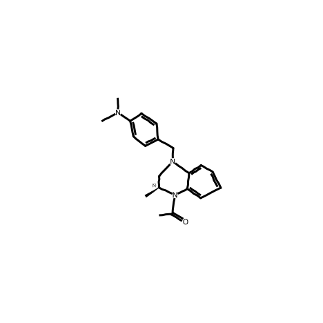 CC(=O)N1c2ccccc2N(Cc2ccc(N(C)C)cc2)C[C@@H]1C